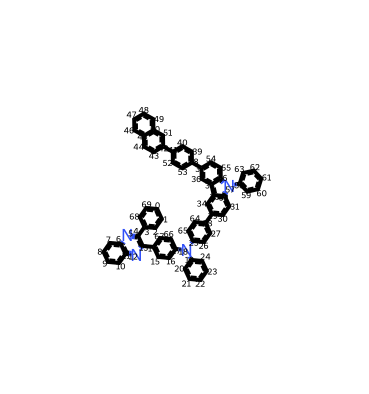 c1ccc(-c2nc3ccccc3nc2-c2ccc(N(c3ccccc3)c3ccc(-c4ccc5c(c4)c4cc(-c6ccc(-c7ccc8ccccc8c7)cc6)ccc4n5-c4ccccc4)cc3)cc2)cc1